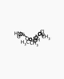 COc1cc(N2CCN3[C@@H](CCC[C@@H]3c3ccc(OCCCN4CCNC(=O)C4)c(C)c3C)C2)ccc1Cl